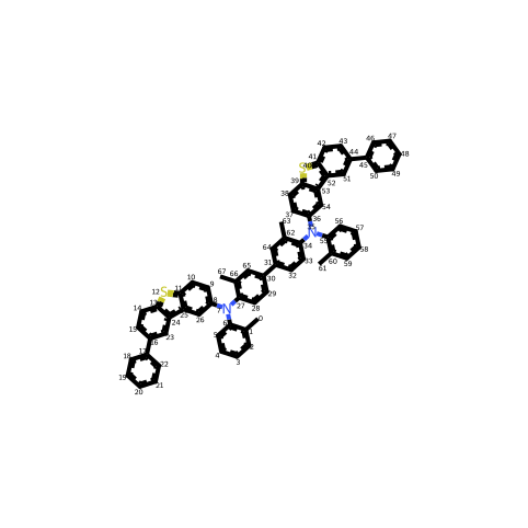 Cc1ccccc1N(c1ccc2sc3ccc(-c4ccccc4)cc3c2c1)c1ccc(-c2ccc(N(c3ccc4sc5ccc(-c6ccccc6)cc5c4c3)c3ccccc3C)c(C)c2)cc1C